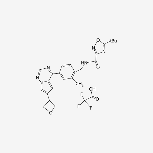 Cc1cc(-c2ncnn3cc(C4COC4)cc23)ccc1CNC(=O)c1noc(C(C)(C)C)n1.O=C(O)C(F)(F)F